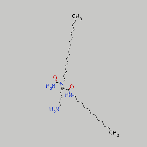 CCCCCCCCCCCCCCCCN(C(N)=O)[C@@H](CCCCN)C(=O)NCCCCCCCCCCCC